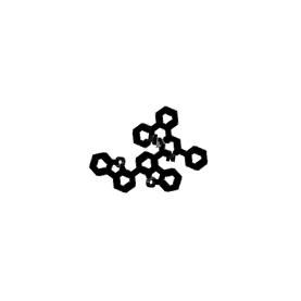 c1ccc(-c2cc(-c3ccccc3-c3ccccn3)nc(-c3ccc(-c4cccc5c4oc4ccccc45)c4oc5ccccc5c34)n2)cc1